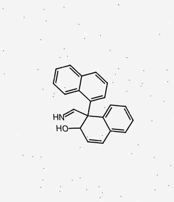 N=CC1(c2cccc3ccccc23)c2ccccc2C=CC1O